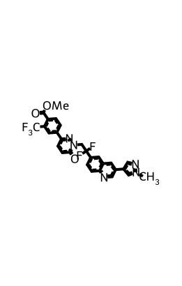 COC(=O)c1ccc(-c2ccc(=O)n(CC(F)(F)c3ccc4ncc(-c5cnn(C)c5)cc4c3)n2)cc1C(F)(F)F